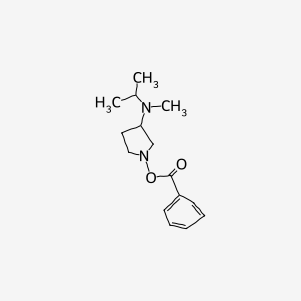 CC(C)N(C)C1CCN(OC(=O)c2ccccc2)C1